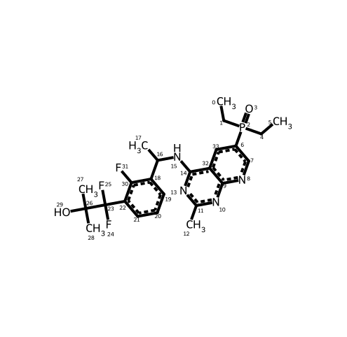 CCP(=O)(CC)c1cnc2nc(C)nc(NC(C)c3cccc(C(F)(F)C(C)(C)O)c3F)c2c1